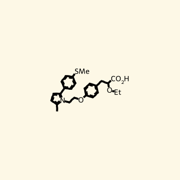 CCOC(Cc1ccc(OCCn2c(C)ccc2-c2ccc(SC)cc2)cc1)C(=O)O